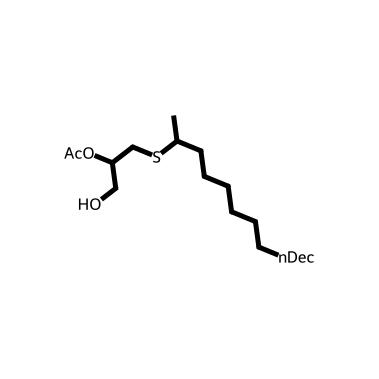 CCCCCCCCCCCCCCCCC(C)SCC(CO)OC(C)=O